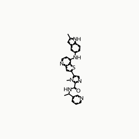 Cc1cc2cc(Nc3ccnc4cc(-c5cnc(C(=O)NC(C)c6cccnc6)n5C)sc34)ccc2[nH]1